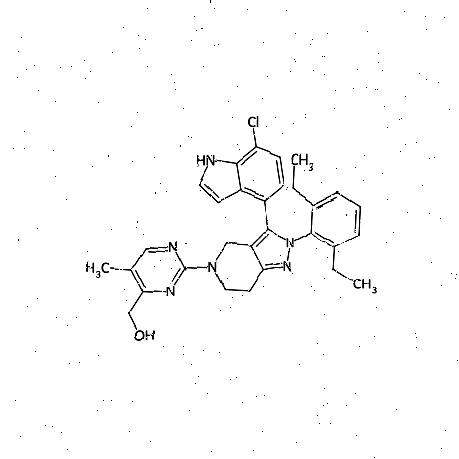 CCc1cccc(CC)c1-n1nc2c(c1-c1ccc(Cl)c3[nH]ccc13)CN(c1ncc(C)c(CO)n1)CC2